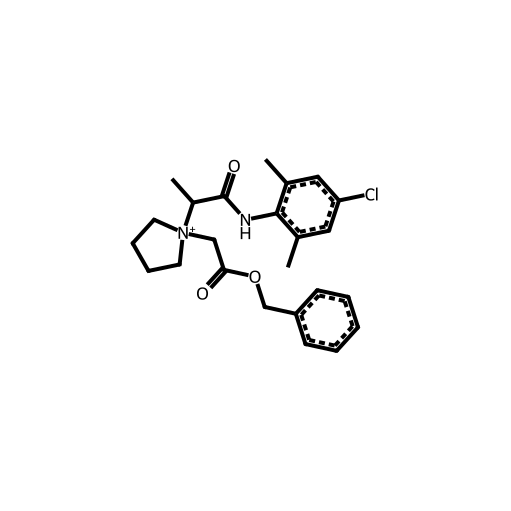 Cc1cc(Cl)cc(C)c1NC(=O)C(C)[N+]1(CC(=O)OCc2ccccc2)CCCC1